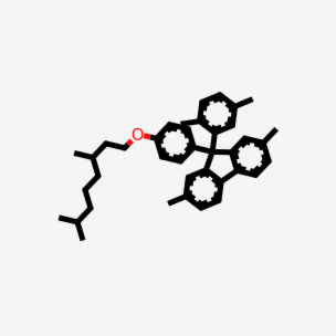 Cc1ccc(C)c(C2(c3ccc(OCCC(C)CCCC(C)C)cc3)c3cc(C)ccc3-c3ccc(C)cc32)c1